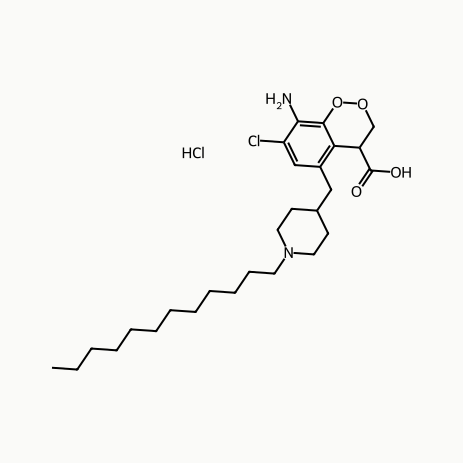 CCCCCCCCCCCCN1CCC(Cc2cc(Cl)c(N)c3c2C(C(=O)O)COO3)CC1.Cl